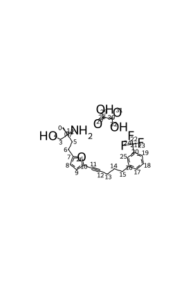 C[C@](N)(CO)CCc1ccc(C#CCCCc2cccc(C(F)(F)F)c2)o1.O=C(O)C(=O)O